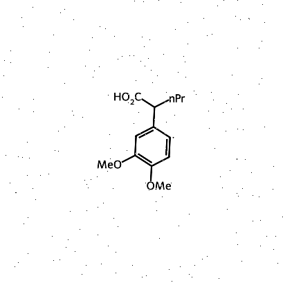 CCCC(C(=O)O)c1[c]cc(OC)c(OC)c1